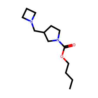 CCCCOC(=O)N1CCC(CN2CCC2)C1